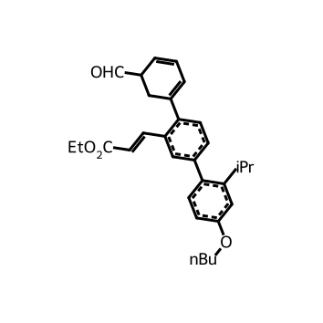 CCCCOc1ccc(-c2ccc(C3=CC=CC(C=O)C3)c(/C=C/C(=O)OCC)c2)c(C(C)C)c1